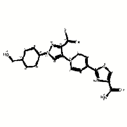 NC(=O)c1coc(C2=CCN(c3cn(C4CCC(CO)CC4)nc3C(F)F)C=C2)n1